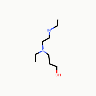 CCNCCN(CC)CCCO